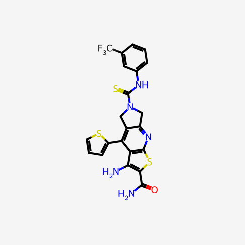 NC(=O)c1sc2nc3c(c(-c4cccs4)c2c1N)CN(C(=S)Nc1cccc(C(F)(F)F)c1)C3